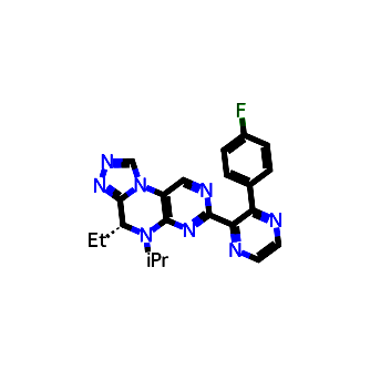 CC[C@@H]1c2nncn2-c2cnc(-c3nccnc3-c3ccc(F)cc3)nc2N1C(C)C